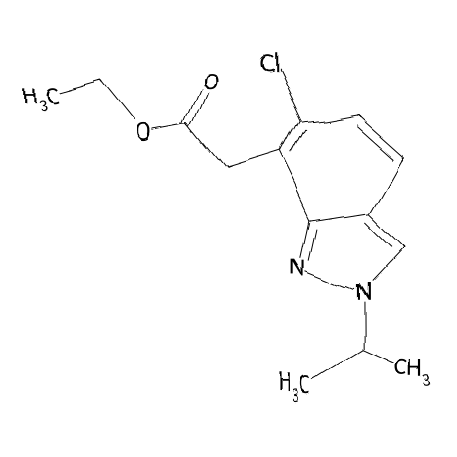 CCOC(=O)Cc1c(Cl)ccc2cn(C(C)C)nc12